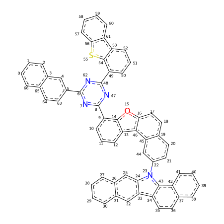 c1ccc2cc(-c3nc(-c4cccc5c4oc4ccc6ccc(-n7c8cc9ccccc9cc8c8ccc9ccccc9c87)cc6c45)nc(-c4cccc5c4sc4ccccc45)n3)ccc2c1